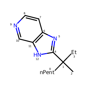 CCCCCC(C)(CC)c1nc2ccncc2[nH]1